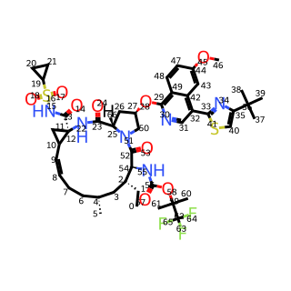 CC[C@@H]1C[C@H](C)CC/C=C\C2C[C@@]2(C(=O)NS(=O)(=O)C2CC2)NC(=O)[C@@H]2C[C@@H](Oc3ncc(-c4nc(C(C)(C)C)cs4)c4cc(OC)ccc34)CN2C(=O)[C@H]1NC(=O)OC(C)(C)C(F)(F)F